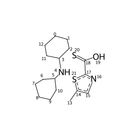 C1CCC(NC2CCCCC2)CC1.Cc1cnc(C(O)=S)s1